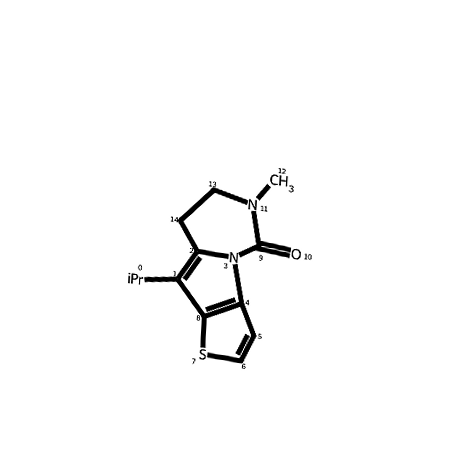 CC(C)c1c2n(c3ccsc13)C(=O)N(C)CC2